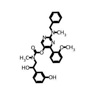 COc1ccccc1-c1nc(N(C)Cc2ccccc2)ncc1OC(=O)N(C)CC(O)c1cccc(O)c1